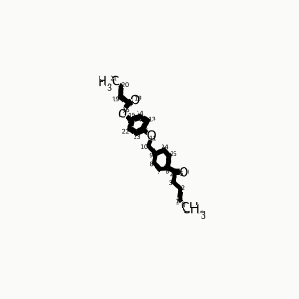 CCCCC(=O)C1CCC(COc2ccc(OC(=O)CCC)cc2)CC1